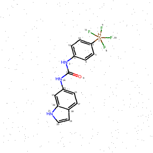 O=C(Nc1ccc([SH](F)(F)(F)F)cc1)Nc1ccc2cc[nH]c2c1